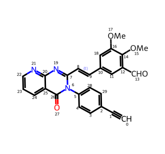 C#Cc1ccc(-n2c(/C=C/c3cc(C=O)c(OC)c(OC)c3)nc3ncccc3c2=O)cc1